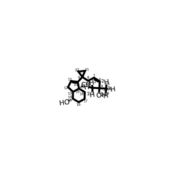 [2H]C([2H])([2H])C(O)(/C=C\CC1(C2=CCC3[C@@H](O)CCC[C@]23C)CC1)C([2H])([2H])[2H]